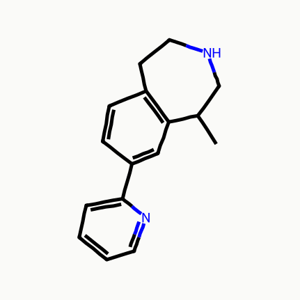 CC1CNCCc2ccc(-c3ccccn3)cc21